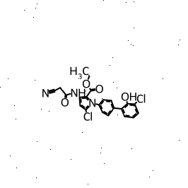 CCOC(=O)c1c(NC(=O)CC#N)cc(Cl)n1-c1ccc(-c2cccc(Cl)c2O)cc1